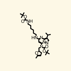 CC1=CCC(CN(C(=O)OC(C)(C)C)c2cc(NCCCCCCNC(=O)OC(C)(C)C)nc3c(C(C)C)cnn23)O1